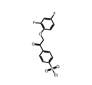 CCS(=O)(=O)c1ccc(C(=O)COc2ccc(F)cc2F)cc1